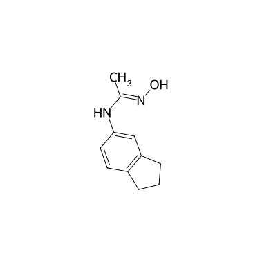 CC(=NO)Nc1ccc2c(c1)CCC2